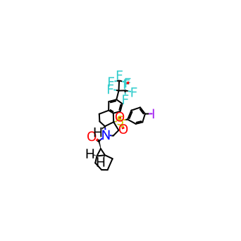 O=C([C@@H]1[C@@H]2CCCC[C@@H]21)N1CC[C@@]2(S(=O)(=O)c3ccc(I)cc3)c3ccc(C(F)(C(F)(F)F)C(F)(F)F)cc3CC[C@@H]12